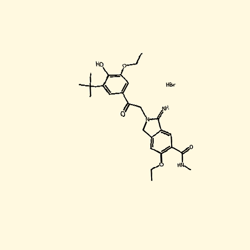 Br.CCOc1cc2c(cc1C(=O)NC)C(=N)N(CC(=O)c1cc(OCC)c(O)c(C(C)(C)C)c1)C2